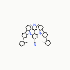 Cc1cc(-c2c(-n3c4ccccc4c4ccc(-c5ccccc5C)cc43)cc(C#N)cc2-n2c3ccccc3c3ccc(-c4ccccc4C)cc32)cc(C)n1